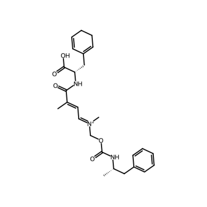 C/C(=C\C=[N+](/C)COC(=O)N[C@@H](C)Cc1ccccc1)C(=O)N[C@@H](CC1=CCCC=C1)C(=O)O